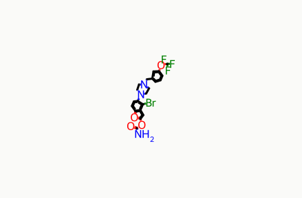 NC(=O)Oc1cc2c(Br)c(N3CCN(Cc4cccc(OC(F)(F)F)c4)CC3)ccc2o1